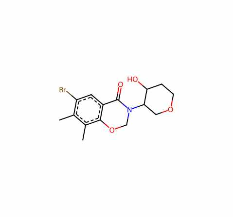 Cc1c(Br)cc2c(c1C)OCN(C1COCCC1O)C2=O